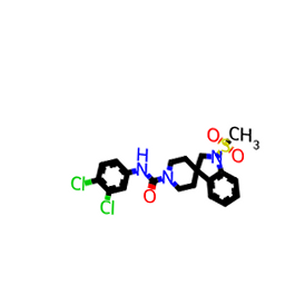 CS(=O)(=O)N1CC2(CCN(C(=O)Nc3ccc(Cl)c(Cl)c3)CC2)c2ccccc21